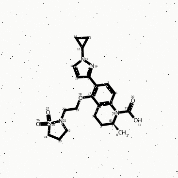 C[C@H]1CCc2c(ccc(-c3ccn(C4CC4)n3)c2OCCN2CCCS2(=O)=O)N1C(=O)O